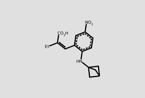 CCC(=Cc1cc([N+](=O)[O-])ccc1NC12CC(C1)C2)C(=O)O